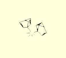 [Cl][Ru]([Cl])([Cl])([Cl])([C]12C=CC(C=C1)C2)[C]12C=CC(C=C1)C2